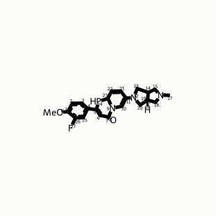 COc1ccc(C2=CC(=O)N3C=C(N4CC5CN(C)C[C@@H]5C4)C=CC3P2)cc1F